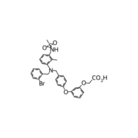 Cc1c(NS(C)(=O)=O)cccc1N(Cc1ccc(Oc2cccc(OCC(=O)O)c2)cc1)Cc1ccccc1Br